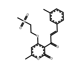 Cc1cccc(C=CC(=O)c2c(OCCS(C)(=O)=O)cc(C)oc2=O)c1